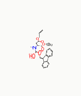 C=CCOC(=O)C[C@@H](C(=O)OC(C)(C)C)N(C)C(O)OCC1c2ccccc2-c2ccccc21